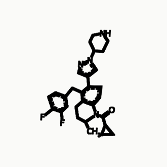 CC1CCc2c(ccc(-c3cnn(C4CCNCC4)c3)c2Cc2ccc(F)c(F)c2)N1C(=O)C1CC1